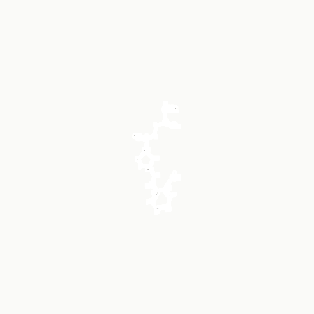 COC(=O)CCC(=O)N1CCC(COc2ccccc2C(C)(C)C)C1